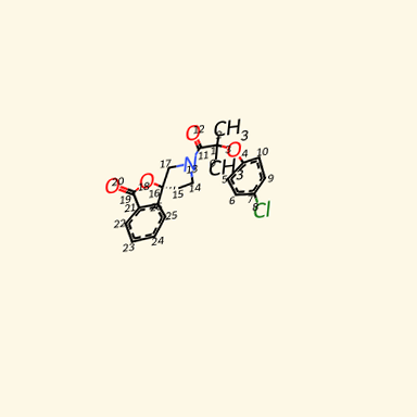 CC(C)(Oc1ccc(Cl)cc1)C(=O)N1CC[C@@]2(C1)OC(=O)c1ccccc12